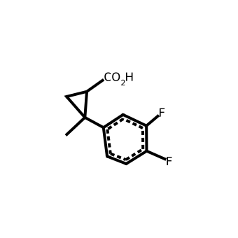 CC1(c2ccc(F)c(F)c2)CC1C(=O)O